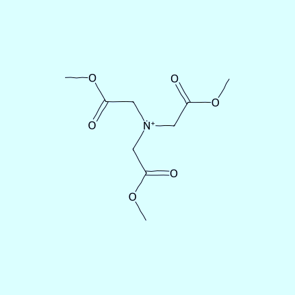 COC(=O)C[N+](CC(=O)OC)CC(=O)OC